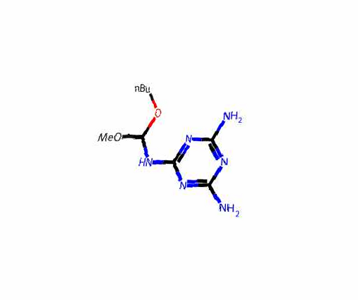 CCCCOC(Nc1nc(N)nc(N)n1)OC